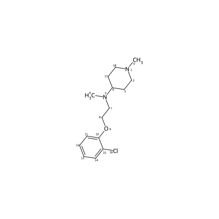 CN1CCC(N(C)CCOc2ccccc2Cl)CC1